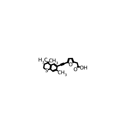 Cc1cc2c(cc1C#Cc1ccc(CC(=O)O)o1)C(C)(C)CCS2